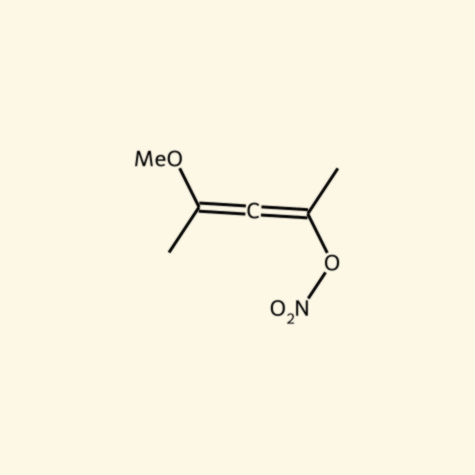 COC(C)=C=C(C)O[N+](=O)[O-]